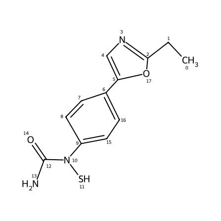 CCc1ncc(-c2ccc(N(S)C(N)=O)cc2)o1